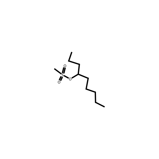 CCCCCC(CCC)OS(C)(=O)=O